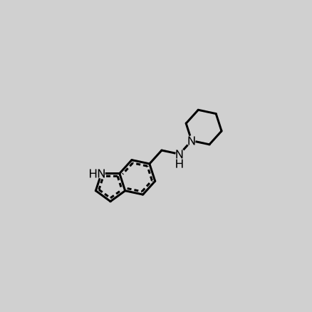 c1cc2ccc(CNN3CCCCC3)cc2[nH]1